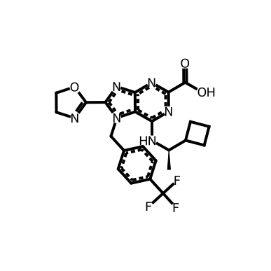 C[C@@H](Nc1nc(C(=O)O)nc2nc(C3=NCCO3)n(Cc3ccc(C(F)(F)F)cc3)c12)C1CCC1